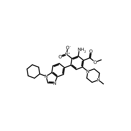 COC(=O)c1c(N2CCN(C)CC2)cc(-c2ccc3c(c2)ncn3C2CCCCC2)c([N+](=O)[O-])c1N